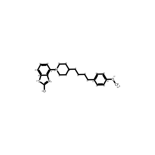 [O]c1nc2c(N3CCC(CCCCc4ccc(OC(F)(F)F)cc4)CC3)cccc2s1